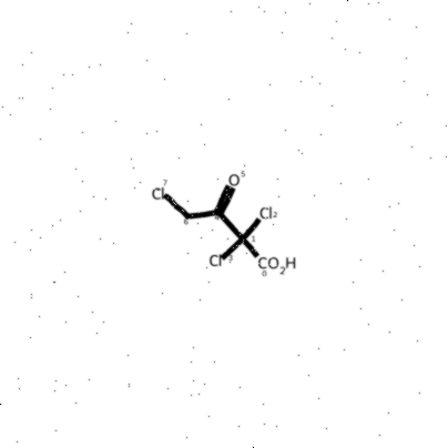 O=C(O)C(Cl)(Cl)C(=O)CCl